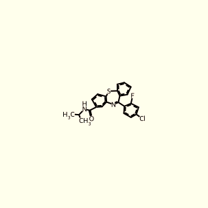 CC(C)NC(=O)c1ccc2c(c1)N=C(c1ccc(Cl)cc1F)c1ccccc1S2